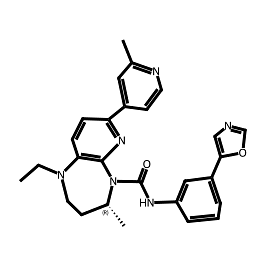 CCN1CC[C@@H](C)N(C(=O)Nc2cccc(-c3cnco3)c2)c2nc(-c3ccnc(C)c3)ccc21